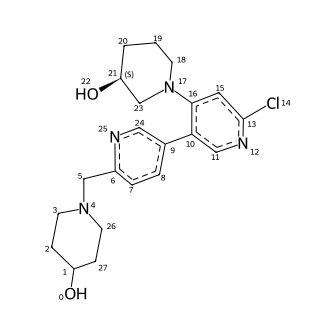 OC1CCN(Cc2ccc(-c3cnc(Cl)cc3N3CCC[C@H](O)C3)cn2)CC1